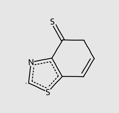 S=C1CC=Cc2s[c]nc21